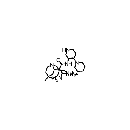 CNCC1CCC2(C)CCN(C1)C(C(C(=O)NC1=C(N3CCCCC3)CCNC1)C(N)N)C2